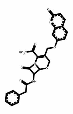 O=C(Cc1ccccc1)NC1C(=O)N2C(C(=O)C(=O)O)=C(COc3ccc4ccc(=O)oc4c3)CSC12